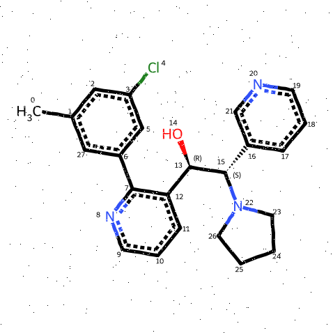 Cc1cc(Cl)cc(-c2ncccc2[C@@H](O)[C@H](c2cccnc2)N2CCCC2)c1